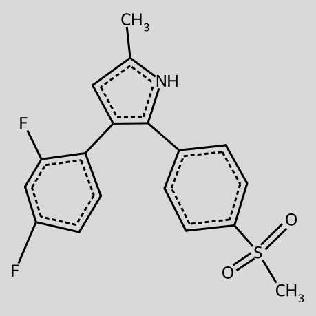 Cc1cc(-c2ccc(F)cc2F)c(-c2ccc(S(C)(=O)=O)cc2)[nH]1